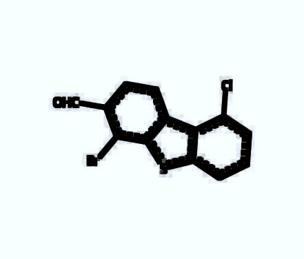 O=Cc1ccc2c(sc3cccc(Cl)c32)c1Br